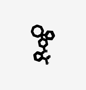 O=[N+]([O-])c1ccccc1NC1CCN(C2(c3ccccc3)CCCCCCC2)CC1